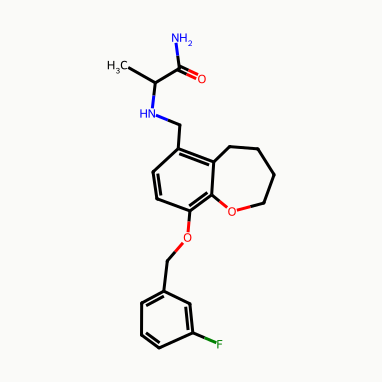 CC(NCc1ccc(OCc2cccc(F)c2)c2c1CCCCO2)C(N)=O